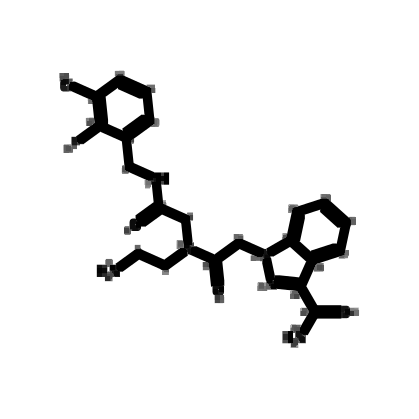 NCCN(CC(=O)NCc1cccc(Cl)c1F)C(=O)Cn1nc(C(N)=O)c2ccccc21